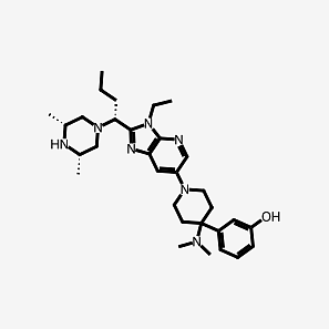 CCC[C@H](c1nc2cc(N3CCC(c4cccc(O)c4)(N(C)C)CC3)cnc2n1CC)N1C[C@@H](C)N[C@@H](C)C1